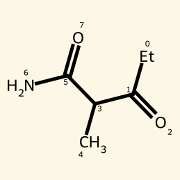 CCC(=O)C(C)C(N)=O